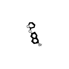 Brc1ccc2cc(OC3CC=CCO3)ccc2c1